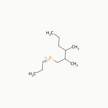 CC/C=P\CC(C)C(C)CCC